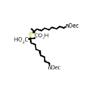 CCCCCCCCCCCCCCCCCCC(C)(SC(C)(CCCCCCCCCCCCCCCCCC)C(=O)O)C(=O)O